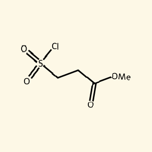 COC(=O)CCS(=O)(=O)Cl